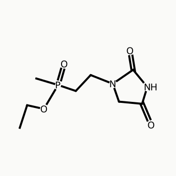 CCOP(C)(=O)CCN1CC(=O)NC1=O